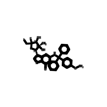 COc1ccc(C(Nc2nc3c(ncn3[C@@H]3O[C@](F)(CI)[C@@H](O)[C@@]3(C)O)c(=O)[nH]2)(c2ccccc2)c2ccccc2)cc1